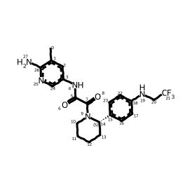 Cc1cc(NC(=O)C(=O)N2CCCC[C@H]2c2ccc(NCC(F)(F)F)cc2)cnc1N